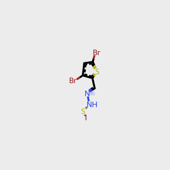 Brc1cc(Br)c(/C=N/NSI)s1